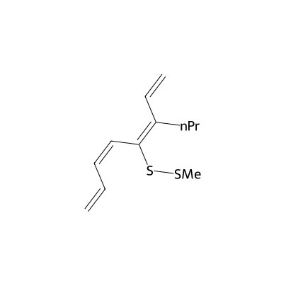 C=C/C=C\C(SSC)=C(/C=C)CCC